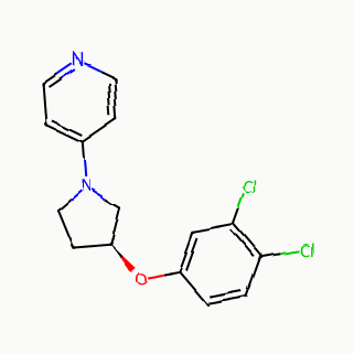 Clc1ccc(O[C@H]2CCN(c3ccncc3)C2)cc1Cl